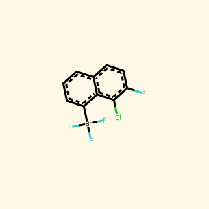 Fc1ccc2cccc([B-](F)(F)F)c2c1Cl